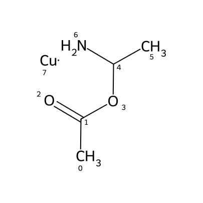 CC(=O)OC(C)N.[Cu]